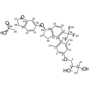 Cc1cc(OC[C@H](O)C(C)(C)O)cc(C)c1-c1c(C(F)(F)F)ccc2c1CC[C@H]2Oc1ccc2c(c1)OC[C@H]2CC(=O)O